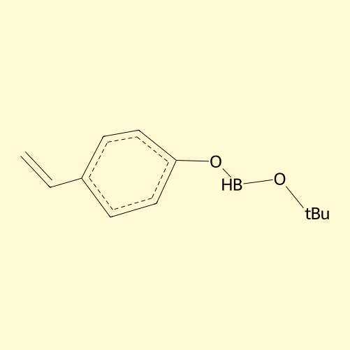 C=Cc1ccc(OBOC(C)(C)C)cc1